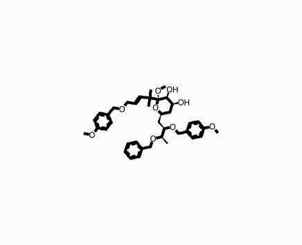 COc1ccc(COC/C=C/C(C)(C)[C@]2(OC)O[C@H](C[C@@H](OCc3ccc(OC)cc3)[C@@H](C)OCc3ccccc3)C[C@H](O)[C@@H]2O)cc1